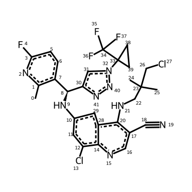 Cc1nc(F)ccc1[C@H](Nc1cc(Cl)c2ncc(C#N)c(NCC(C)(C)CCl)c2c1)c1cn(C2(C(F)(F)F)CC2)nn1